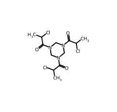 CC(Cl)C(=O)N1CN(C(=O)C(C)Cl)CN(C(=O)C(C)Cl)C1